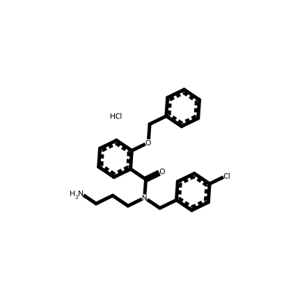 Cl.NCCCN(Cc1ccc(Cl)cc1)C(=O)c1ccccc1OCc1ccccc1